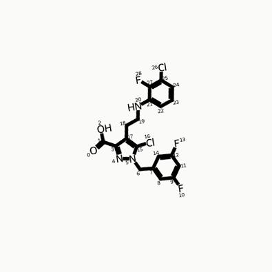 O=C(O)c1nn(Cc2cc(F)cc(F)c2)c(Cl)c1CCNc1cccc(Cl)c1F